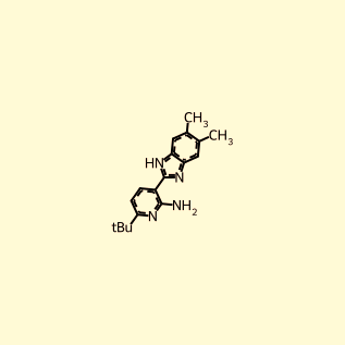 Cc1cc2nc(-c3ccc(C(C)(C)C)nc3N)[nH]c2cc1C